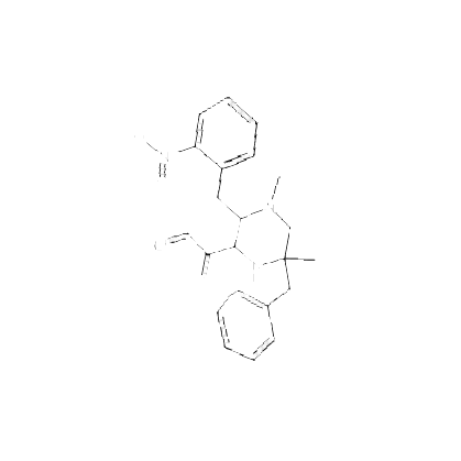 CN1CC(C)(Cc2ccccc2)NC(C(=O)C=O)C1Cc1ccccc1[N+](=O)[O-]